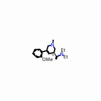 C=C([C@H]1C=C(c2ccccc2OC)CN(C)C1)N(CC)CC